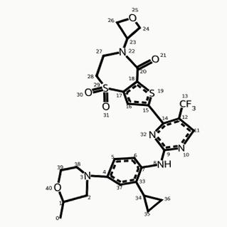 CC1CN(c2ccc(Nc3ncc(C(F)(F)F)c(-c4cc5c(s4)C(=O)N(C4COC4)CCS5(=O)=O)n3)c(C3CC3)c2)CCO1